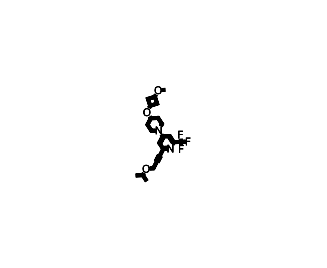 COC1CC(OC2CCN(c3cc(C#CCOC(C)C)nc(C(F)(F)F)c3)CC2)C1